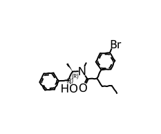 CCCC(C(=O)N(C)[C@H](C)[C@H](O)c1ccccc1)c1ccc(Br)cc1